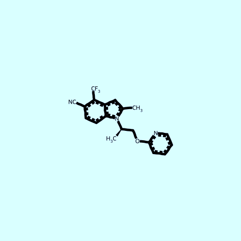 Cc1cc2c(C(F)(F)F)c(C#N)ccc2n1[C@H](C)COc1ccccn1